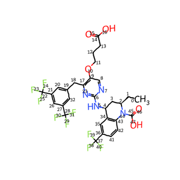 CC[C@@H]1C[C@H](Nc2ncc(OCCCC(=O)O)c(Cc3cc(C(F)(F)F)cc(C(F)(F)F)c3)n2)c2cc(C(F)(F)F)ccc2N1C(=O)O